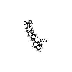 CCC(=O)N1CCC2(CCc3cc(-c4ccc5cccnc5c4OC)ccc3O2)CC1